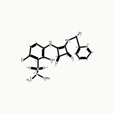 CC[C@@H](Nc1c(Nc2ccc(Cl)c(S(=O)(=O)N(C)OC)c2O)c(=O)c1=O)c1ccccn1